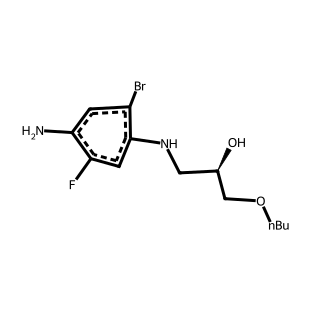 CCCCOC[C@H](O)CNc1cc(F)c(N)cc1Br